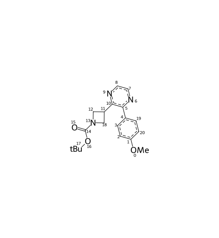 COc1ccc(-c2nccnc2C2CN(C(=O)OC(C)(C)C)C2)cc1